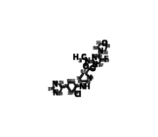 CN(OC(=O)c1ccc(Nc2ccc(-c3cncnc3)cc2Cl)cn1)c1ncc(F)c(N2CCOCC2)n1